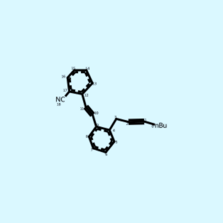 CCCCC#CCc1ccccc1C#Cc1ccccc1C#N